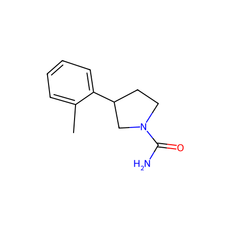 Cc1ccccc1C1CCN(C(N)=O)C1